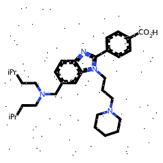 CC(C)CCN(CCC(C)C)Cc1ccc2nc(-c3ccc(C(=O)O)cc3)n(CCCN3CCCCC3)c2c1